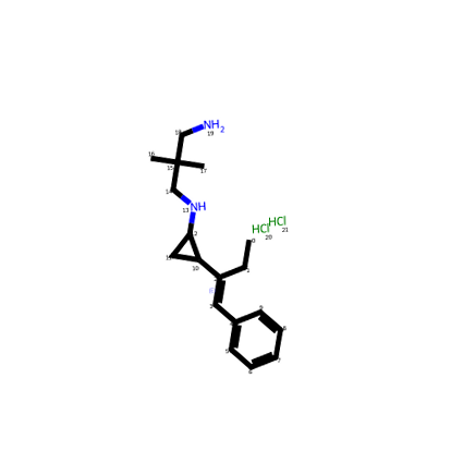 CC/C(=C\c1ccccc1)C1CC1NCC(C)(C)CN.Cl.Cl